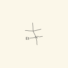 CC[N+](C)(C)C(C)(C)C